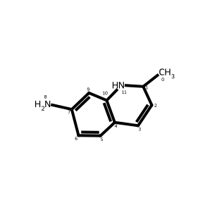 CC1C=Cc2ccc(N)cc2N1